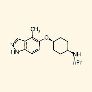 CCCN[C@H]1CC[C@@H](Oc2ccc3[nH]ncc3c2C)CC1